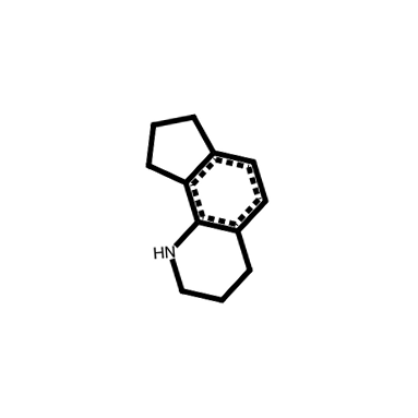 c1cc2c(c3c1CCC3)NCCC2